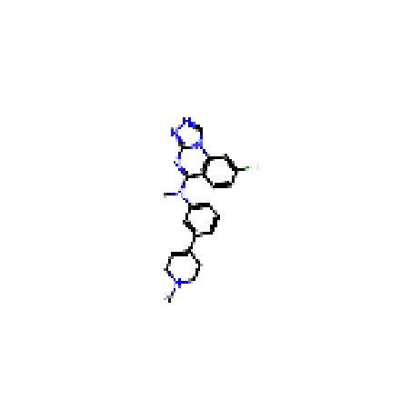 CC(C)N1CC=C(c2cccc(N(C)c3nc4nncn4c4cc(Cl)ccc34)c2)CC1